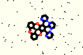 c1cnc(-c2c3c4c(c(-c5ncccn5)c2-c2ncccn2)Oc2cccc5c2B4c2c(cccc2O3)O5)nc1